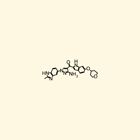 Cc1nc2cc(-n3cc(C(=O)c4cc5ccc(OC6CCOCC6)cc5[nH]4)c(N)n3)ccc2[nH]1